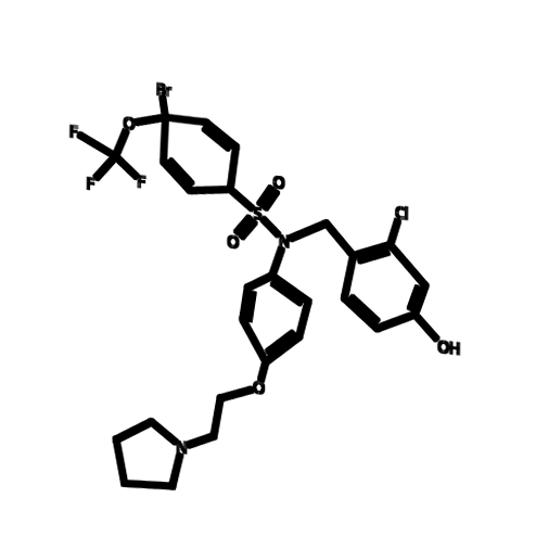 O=S(=O)(C1C=CC(Br)(OC(F)(F)F)C=C1)N(Cc1ccc(O)cc1Cl)c1ccc(OCCN2CCCC2)cc1